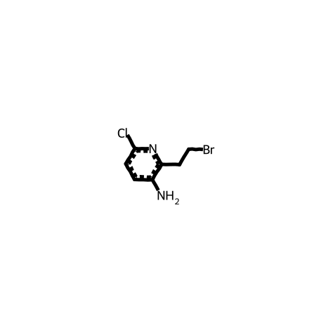 Nc1ccc(Cl)nc1CCBr